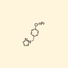 [CH2]CCOc1ccc(Cn2cccn2)cc1